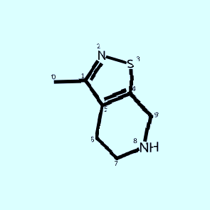 Cc1nsc2c1CCNC2